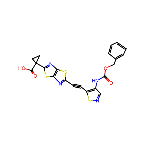 O=C(Nc1cnsc1C#Cc1nc2sc(C3(C(=O)O)CC3)nc2s1)OCc1ccccc1